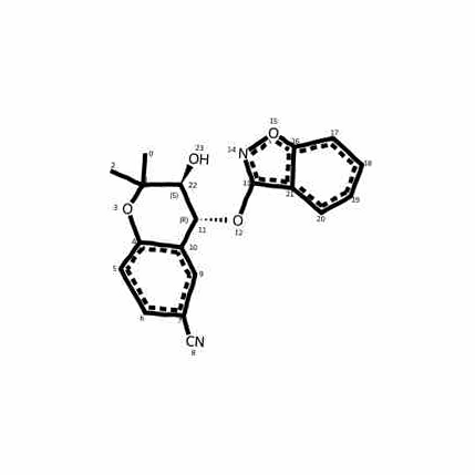 CC1(C)Oc2ccc(C#N)cc2[C@@H](Oc2noc3ccccc23)[C@@H]1O